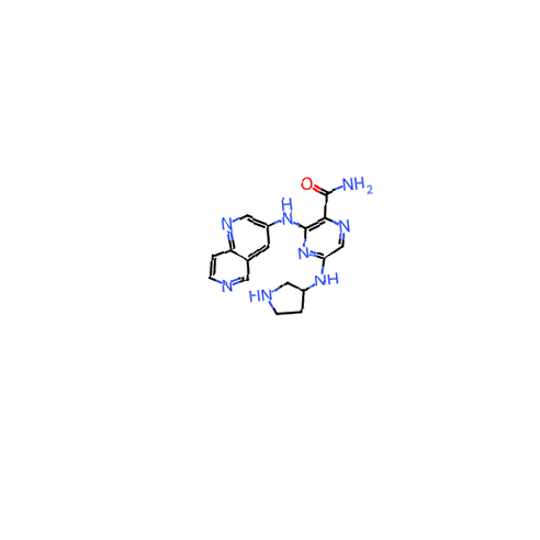 NC(=O)c1ncc(NC2CCNC2)nc1Nc1cnc2ccncc2c1